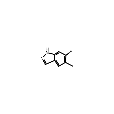 Cc1cc2[c]n[nH]c2cc1F